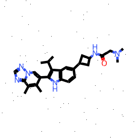 Cc1c(-c2[nH]c3ccc(C4CC(NC(=O)CN(C)C)C4)cc3c2C(C)C)cn2ncnc2c1C